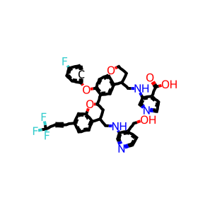 O=C(O)c1ccncc1NCC1CCOc2cc(Oc3ccc(F)cc3)c(C3CC(CNc4cnccc4CO)c4ccc(C#CC(F)(F)F)cc4O3)cc21